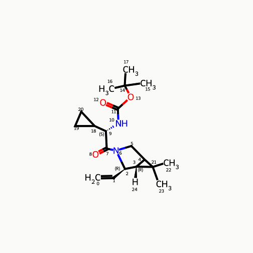 C=C[C@@H]1[C@@H]2C(CN1C(=O)[C@@H](NC(=O)OC(C)(C)C)C1CC1)C2(C)C